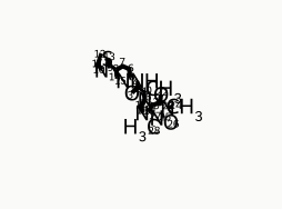 C[C@@H](C(=O)Nc1ccc(-c2nccs2)cn1)n1cnc2c1c(=O)n(C)c(=O)n2C